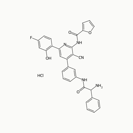 Cl.N#Cc1c(-c2cccc(NC(=O)C(N)c3ccccc3)c2)cc(-c2ccc(F)cc2O)nc1NC(=O)c1ccco1